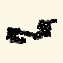 Cc1ncsc1-c1ccc([C@H](C)NC(=O)[C@@H]2CCCN2C(=O)[C@@H](NC(=O)COCCOCCCCC(=O)N2CCN(c3ncnc4c(F)c(-c5cc(O)cc6ccccc56)c(Cl)cc34)CC2)C(C)(C)C)cc1